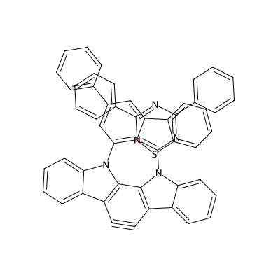 c1c2c3ccccc3n(-c3nc(-c4ccccc4)nc(-c4ccccc4)n3)c2c2c(c#1)c1ccccc1n2-c1cc(-c2ccccc2)cc2c1sc1ccccc12